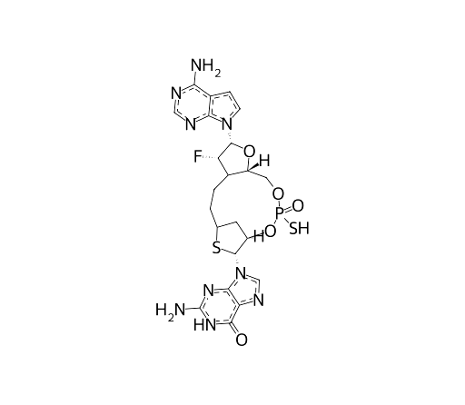 Nc1nc2c(ncn2[C@@H]2SC3CCC4[C@@H](COP(=O)(S)O[C@@H]2C3)O[C@@H](n2ccc3c(N)ncnc32)[C@H]4F)c(=O)[nH]1